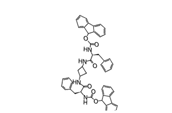 O=C(N[C@@H](Cc1ccccc1)C(=O)NC1CC(NC(=O)[C@H](Cc2ccccc2)NC(=O)OC2c3ccccc3-c3ccccc32)C1)OC1c2ccccc2-c2ccccc21